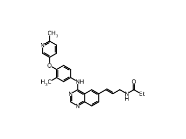 CCC(=O)NCC=Cc1ccc2ncnc(Nc3ccc(Oc4ccc(C)nc4)c(C)c3)c2c1